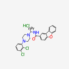 CCCC(NC(=O)c1ccc2oc3ccccc3c2c1)N1CCN(c2cccc(Cl)c2Cl)CC1.Cl